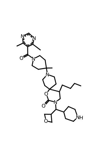 CCCCC1CN(C(C2CCNCC2)C2COC2)C(=O)OC12CCN(C1(C)CCN(C(=O)c3c(C)ncnc3C)CC1)CC2